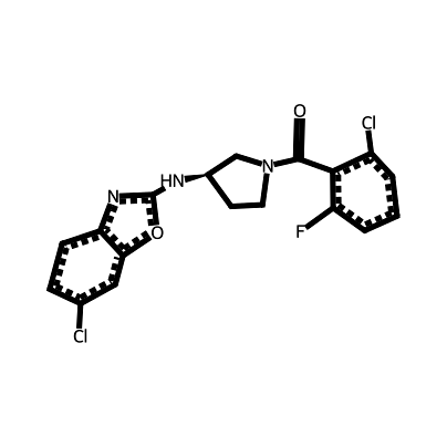 O=C(c1c(F)cccc1Cl)N1CC[C@@H](Nc2nc3ccc(Cl)cc3o2)C1